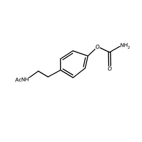 CC(=O)NCCc1ccc(OC(N)=O)cc1